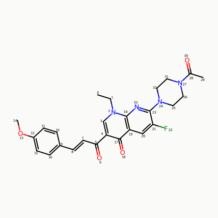 CCn1cc(C(=O)C=Cc2ccc(OC)cc2)c(=O)c2cc(F)c(N3CCN(C(C)=O)CC3)nc21